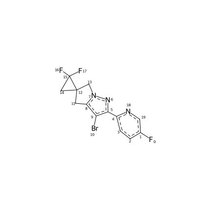 Fc1ccc(-c2nn3c(c2Br)CC2(C3)CC2(F)F)nc1